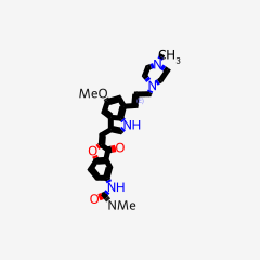 CNC(=O)Nc1ccc2c(c1)C(=O)C(=Cc1c[nH]c3c(/C=C/CN4CCN(C)CC4)cc(OC)cc13)O2